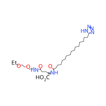 CCOCCOCCNC(=O)CC[C@H](NC(=O)CCCCCCCCCCCCCCCc1nnn[nH]1)C(=O)O